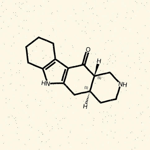 O=C1c2c([nH]c3c2CCCC3)C[C@@H]2CCNC[C@@H]12